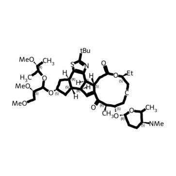 CC[C@H]1CCC[C@H](O[C@H]2CC[C@H](NC)C(C)O2)[C@@H](C)C(=O)C2=C[C@H]3[C@@H]4C[C@H](OC(OC(C)[C@@H](C)OC)[C@H](COC)OC)C[C@H]4c4sc(C(C)(C)C)nc4[C@H]3[C@@H]2CC(=O)O1